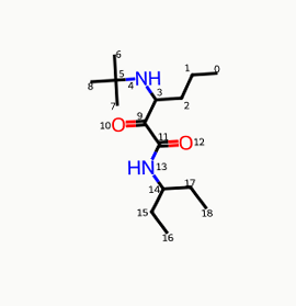 CCCC(NC(C)(C)C)C(=O)C(=O)NC(CC)CC